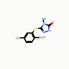 Cn1c(Sc2cc(C(F)(F)F)ccc2C(=O)O)n[nH]c1=O